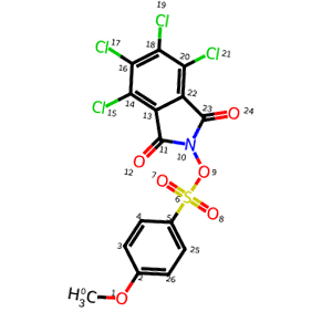 COc1ccc(S(=O)(=O)ON2C(=O)c3c(Cl)c(Cl)c(Cl)c(Cl)c3C2=O)cc1